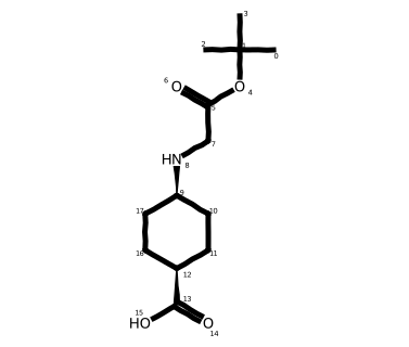 CC(C)(C)OC(=O)CN[C@H]1CC[C@@H](C(=O)O)CC1